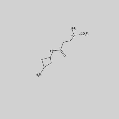 NC1CC(NC(=O)CC[C@H](N)C(=O)O)C1